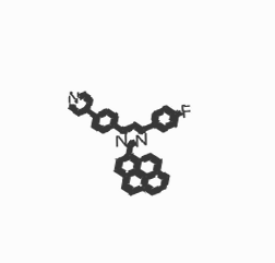 Fc1ccc(-c2cc(-c3ccc(-c4ccncc4)cc3)nc(-c3ccc4ccc5cccc6ccc3c4c56)n2)cc1